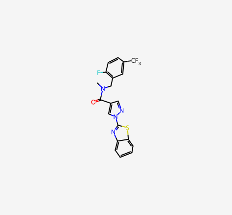 CN(Cc1cc(C(F)(F)F)ccc1F)C(=O)c1cnn(-c2nc3ccccc3s2)c1